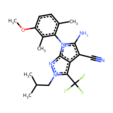 COc1ccc(C)c(-n2c(N)c(C#N)c3c(C(F)(F)F)n(CC(C)C)nc32)c1C